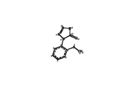 CSc1ccccc1N1N=N[N]C1=O